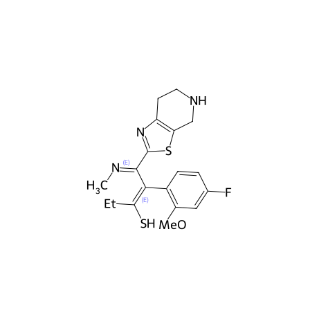 CC/C(S)=C(\C(=N/C)c1nc2c(s1)CNCC2)c1ccc(F)cc1OC